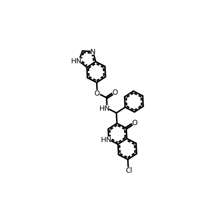 O=C(NC(c1ccccc1)c1c[nH]c2cc(Cl)ccc2c1=O)Oc1ccc2nc[nH]c2c1